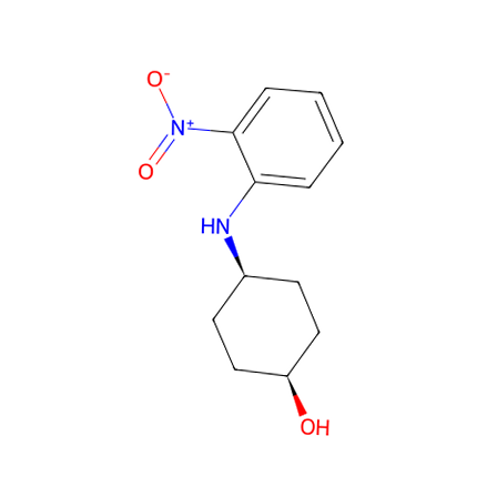 O=[N+]([O-])c1ccccc1N[C@H]1CC[C@@H](O)CC1